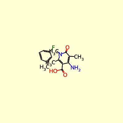 Cc1c(N)c(C(=O)O)c(C)n(C)c1=O.Cc1cccc(F)c1